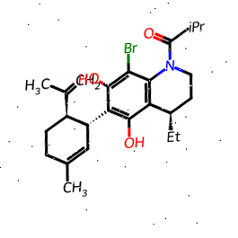 C=C(C)[C@@H]1CCC(C)=C[C@H]1c1c(O)c(Br)c2c(c1O)[C@H](CC)CCN2C(=O)C(C)C